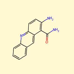 NC(=O)c1c(N)ccc2nc3ccccc3cc12